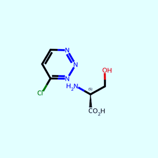 Clc1ccnnn1.N[C@@H](CO)C(=O)O